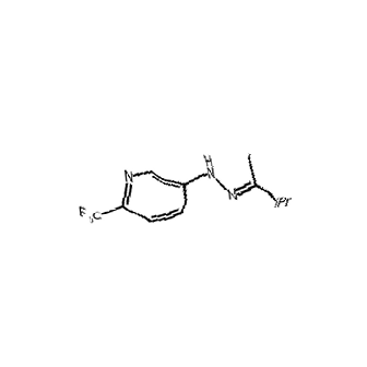 CC(=NNc1ccc(C(F)(F)F)nc1)C(C)C